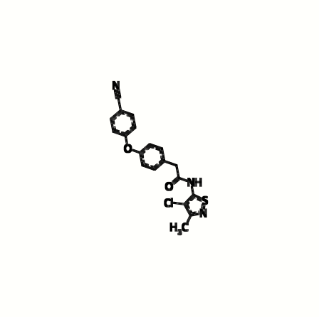 Cc1nsc(NC(=O)Cc2ccc(Oc3ccc(C#N)cc3)cc2)c1Cl